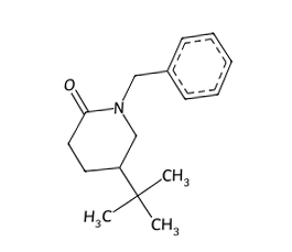 CC(C)(C)C1CCC(=O)N(Cc2ccccc2)C1